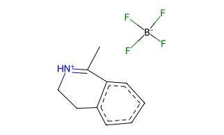 CC1=[NH+]CCc2ccccc21.F[B-](F)(F)F